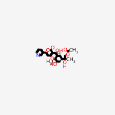 CC(=O)OC[C@](C)(O)[C@H]1C[C@@H](O)[C@]2(C)Oc3cc(-c4cccnc4)oc(=O)c3[C@@H](O)[C@H]2C1